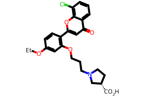 CCOc1ccc(-c2cc(=O)c3cccc(Cl)c3o2)c(OCCCN2CC[C@H](C(=O)O)C2)c1